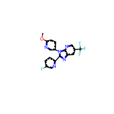 COc1ccc(-n2c(-c3ccc(F)cn3)nc3cc(C(F)(F)F)cnc32)cn1